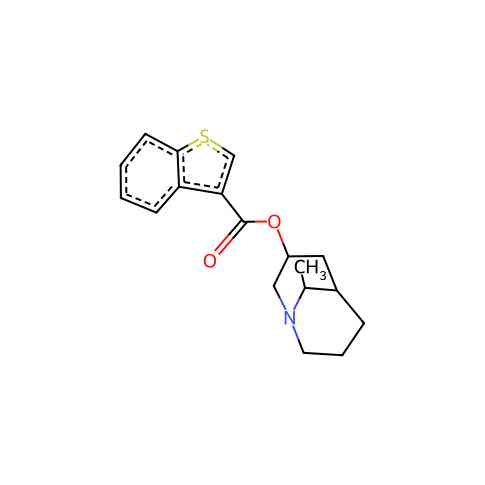 CC1C2CCCN1CC(OC(=O)c1csc3ccccc13)C2